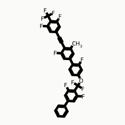 Cc1cc(-c2ccc(OC(F)(F)c3c(F)cc(-c4ccccc4)cc3F)cc2F)cc(F)c1C#Cc1cc(F)c(C(F)(F)F)c(F)c1